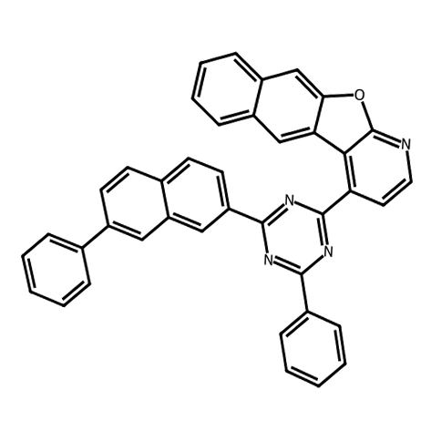 c1ccc(-c2ccc3ccc(-c4nc(-c5ccccc5)nc(-c5ccnc6oc7cc8ccccc8cc7c56)n4)cc3c2)cc1